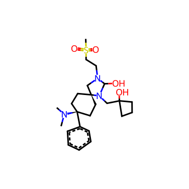 CN(C)[C@]1(c2ccccc2)CC[C@@]2(CC1)CN(CCS(C)(=O)=O)C(O)N2CC1(O)CCC1